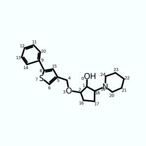 OC1C(OCc2csc(-c3ccccc3)c2)CCC1N1CCCCC1